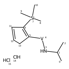 CC(C)[NH][V][C]1=C([Si](C)(C)C)C=CC1.Cl.Cl